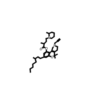 C#CCN1CCC2=C(C1)c1c(OC(=O)C(C)CCN3CCCCC3C)cc(CCC(C)CCCCC)cc1OC2(C)C